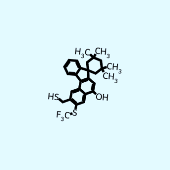 CC1(C)CC(C)(C)CC2(C1)c1ccccc1-c1c2cc(O)c2cc(SC(F)(F)F)c(CS)cc12